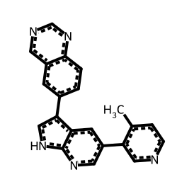 Cc1ccncc1-c1cnc2[nH]cc(-c3ccc4ncncc4c3)c2c1